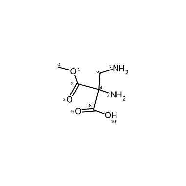 COC(=O)C(N)(CN)C(=O)O